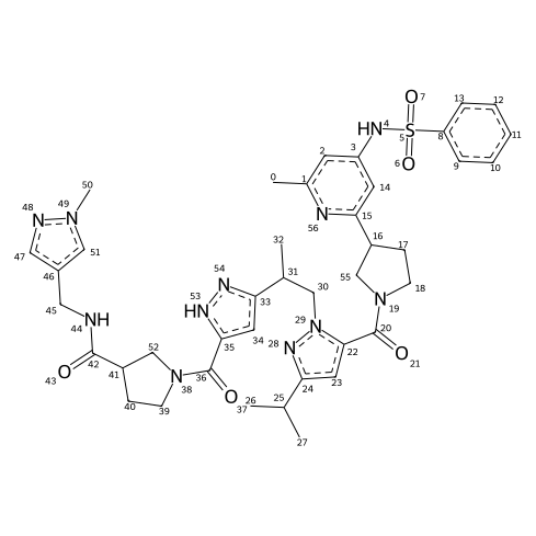 Cc1cc(NS(=O)(=O)c2ccccc2)cc(C2CCN(C(=O)c3cc(C(C)C)nn3CC(C)c3cc(C(=O)N4CCC(C(=O)NCc5cnn(C)c5)C4)[nH]n3)C2)n1